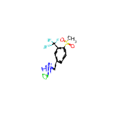 CS(=O)(=O)c1ccc(CNCl)cc1C(F)(F)F